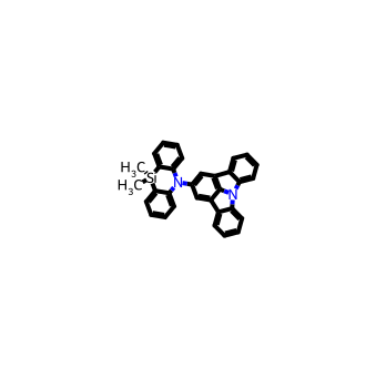 C[Si]1(C)c2ccccc2N(c2cc3c4ccccc4n4c5ccccc5c(c2)c34)c2ccccc21